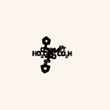 CC(C)C(NC(=O)C(NC(=O)c1ccccc1)(C(=O)O)C(C)(C)SSc1ccccc1)C(=O)O